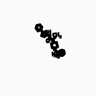 CCN(C(=O)Nc1ccc(-c2ccccc2)s1)C1CCN(CC2=CCC3CC2C3(C)C)CC1